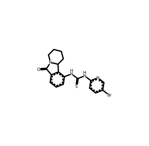 O=C1c2cccc(NC(=S)Nc3ccc(Br)cn3)c2C2CCCCN12